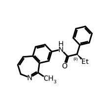 CC[C@@H](C(=O)Nc1ccc2c(c1)C(C)=NCC=C2)c1ccccc1